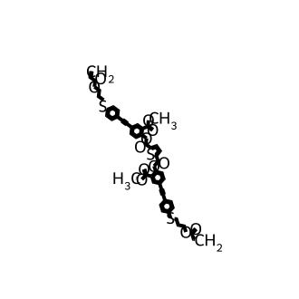 C=CC(=O)OCCCSc1ccc(C#Cc2ccc(OC(=O)c3ccc(C(=O)Oc4ccc(C#Cc5ccc(SCCCOC(=O)C=C)cc5)cc4C(=O)OC)s3)c(C(=O)OC)c2)cc1